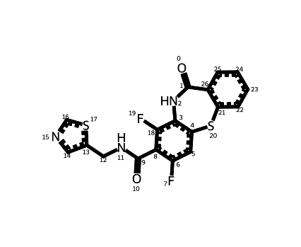 O=C1Nc2c(cc(F)c(C(=O)NCc3cncs3)c2F)Sc2ccccc21